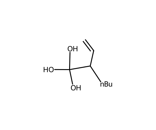 C=CC(CCCC)C(O)(O)O